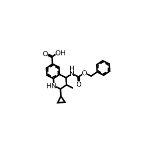 CC1C(NC(=O)OCc2ccccc2)c2cc(C(=O)O)ccc2NC1C1CC1